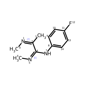 C/N=C(C)\C(=N/C)Nc1ccc(F)cc1